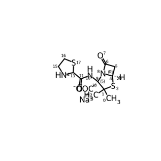 CC1(C)S[C@@H]2CC(=O)N2[C@@]1(NC(=O)C1NCCS1)C(=O)[O-].[Na+]